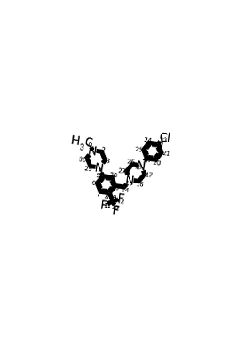 CN1CCN(c2ccc(C(F)(F)F)c(CN3CCN(c4ccc(Cl)cc4)CC3)c2)CC1